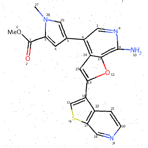 COC(=O)c1cc(-c2cnc(N)c3oc(-c4csc5cnccc45)cc23)cn1C